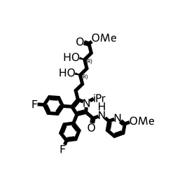 COC(=O)C[C@H](O)C[C@H](O)CCc1c(-c2ccc(F)cc2)c(-c2ccc(F)cc2)c(C(=O)Nc2cccc(OC)n2)n1C(C)C